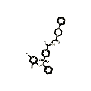 O=C(NCC(=O)N1CCN(c2ccccc2)CC1)c1ccc(S(=O)(=O)N(Oc2ccc(Cl)cc2Cl)c2ccccc2)cc1